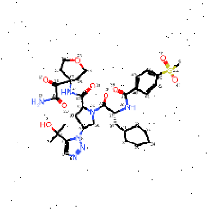 CC(C)(O)c1cnnn1[C@H]1C[C@@H](C(=O)NC2(C(=O)C(N)=O)CCOCC2)N(C(=O)[C@@H](CC2CCCCC2)NC(=O)c2ccc(S(C)(=O)=O)cc2)C1